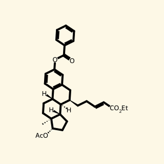 CCOC(=O)/C=C/CC[C@@H]1Cc2cc(OC(=O)c3ccccc3)ccc2[C@H]2CC[C@]3(C)[C@@H](OC(C)=O)CC[C@H]3[C@H]12